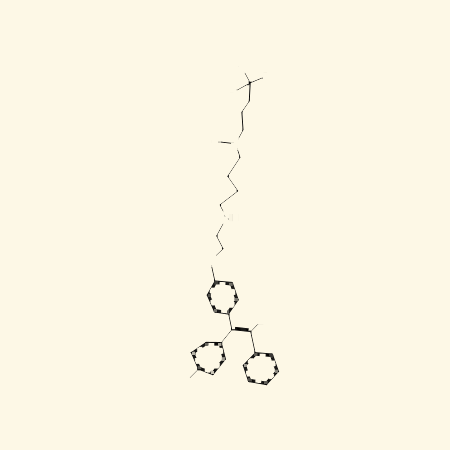 CCC(=C(c1ccc(O)cc1)c1ccc(OCCNCCCC[S+]([O-])CCCC(F)(F)C(F)(F)F)cc1)c1ccccc1